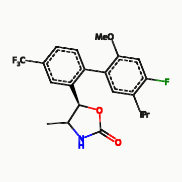 COc1cc(F)c(C(C)C)cc1-c1ccc(C(F)(F)F)cc1[C@H]1OC(=O)NC1C